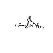 CCC#CCC1(C(O)/C=C/C2CCC(=O)N2CCCCCCC(=O)OC)CCC1